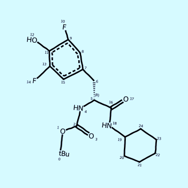 CC(C)(C)OC(=O)N[C@H](Cc1cc(F)c(O)c(F)c1)C(=O)NC1CCCCC1